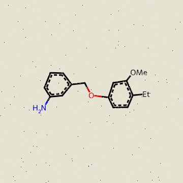 CCc1ccc(OCc2cccc(N)c2)cc1OC